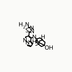 C[C@]12C[C@H]3CC(O)(CC(Nc4c(-c5nnc(N)s5)cnn5cccc45)(C3)C1)C2